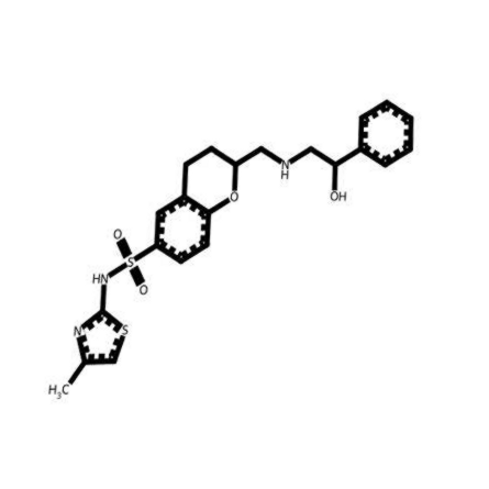 Cc1csc(NS(=O)(=O)c2ccc3c(c2)CCC(CNCC(O)c2ccccc2)O3)n1